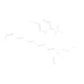 CCCCCCCC/C=C\CCCCCCCC[N+](C)(CCO)CCO.Cc1ccc(S(=O)(=O)[O-])cc1